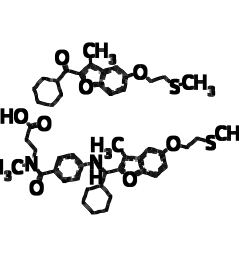 CSCCOc1ccc2oc(C(=O)C3CCCCC3)c(C)c2c1.CSCCOc1ccc2oc(C(Nc3ccc(C(=O)N(C)CCC(=O)O)cc3)C3CCCCC3)c(C)c2c1